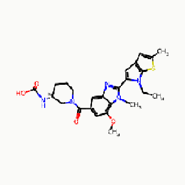 CCn1c(-c2nc3cc(C(=O)N4CCC[C@@H](NC(=O)O)C4)cc(OC)c3n2C)cc2cc(C)sc21